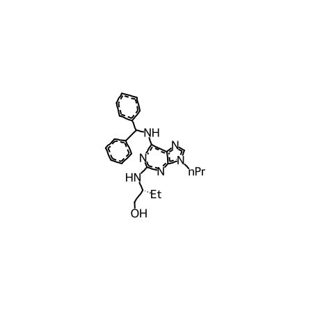 CCCn1cnc2c(NC(c3ccccc3)c3ccccc3)nc(N[C@H](CC)CO)nc21